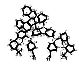 N#Cc1ccc(N(c2ccc3c(c2)c2cc(N(c4ccc(C#N)cc4)c4cccc5c4oc4c(C(F)(F)F)cccc45)cc4c2n3-c2ccccc2C42c3ccc4ccccc4c3-c3c2ccc2ccccc32)c2cccc3c2oc2c(C(F)(F)F)cccc23)cc1